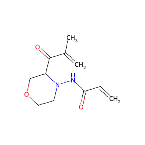 C=CC(=O)NN1CCOCC1C(=O)C(=C)C